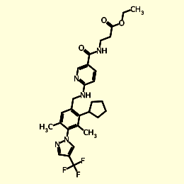 CCOC(=O)CCNC(=O)c1ccc(NCc2cc(C)c(-n3cc(C(F)(F)F)cn3)c(C)c2C2CCCC2)nc1